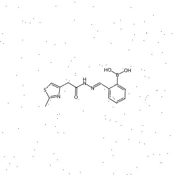 Cc1nc(CC(=O)N/N=C/c2ccccc2B(O)O)cs1